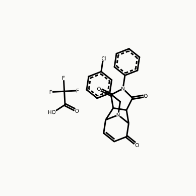 O=C(O)C(F)(F)F.O=C1C=CC2C3C(=O)N(c4ccccc4)C(=O)C3C1N2Cc1cccc(Cl)c1